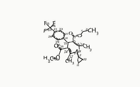 CCOC(=O)C1=C(C)N(C2CC2)C(C)=C(C(=O)OC)C1c1ccc(C(F)(F)F)cc1